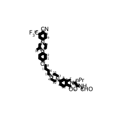 CCCC(C(=O)NC=O)N1Cc2cc(N3CCN(CCCCOc4ccc(N5CCN(c6ccc(C#N)c(C(F)(F)F)c6)CC5C)cc4)CC3)ccc2C1=O